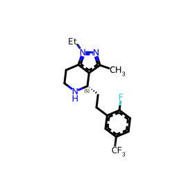 CCn1nc(C)c2c1CCN[C@H]2CCc1cc(C(F)(F)F)ccc1F